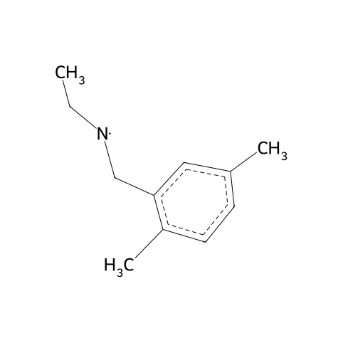 CC[N]Cc1cc(C)ccc1C